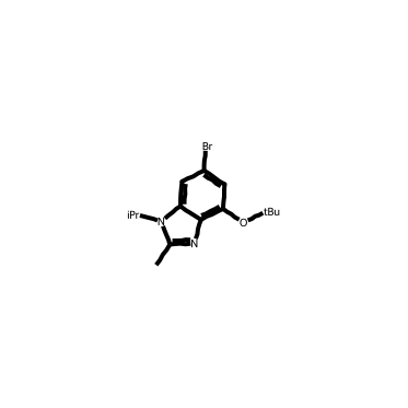 Cc1nc2c(OC(C)(C)C)cc(Br)cc2n1C(C)C